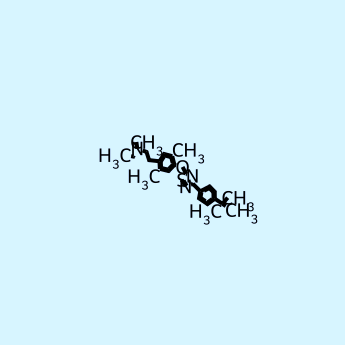 CCN(C)CCc1cc(C)c(Oc2nc(-c3ccc(C(C)(C)C)cc3)ns2)cc1C